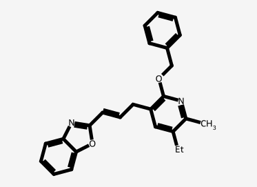 CCc1cc(CC=Cc2nc3ccccc3o2)c(OCc2ccccc2)nc1C